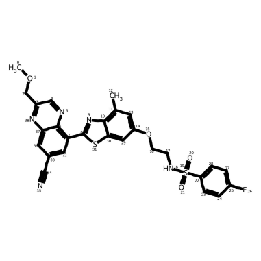 COCc1cnc2c(-c3nc4c(C)cc(OCCNS(=O)(=O)c5ccc(F)cc5)cc4s3)cc(C#N)cc2n1